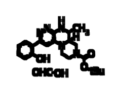 C[C@@H]1Nc2nnc(-c3ccccc3O)cc2N2CCN(C(=O)OC(C)(C)C)C[C@@H]12.O=CO